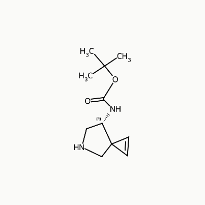 CC(C)(C)OC(=O)N[C@H]1CNCC12C=C2